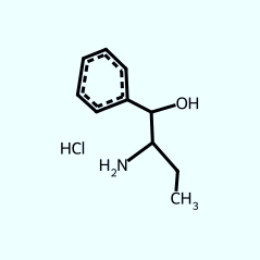 CCC(N)C(O)c1ccccc1.Cl